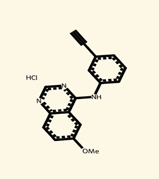 C#Cc1cccc(Nc2ncnc3ccc(OC)cc23)c1.Cl